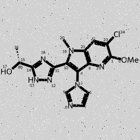 COc1nc2c(-n3ccnc3)c(-c3n[nH]c([C@@H](C)O)n3)n(C)c2cc1Cl